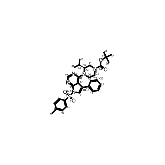 Cc1ccc(S(=O)(=O)n2cc(-c3ccccc3)c3c(N4C[C@@H](C)N(C(=O)OC(C)(C)C)C[C@@H]4C(C)C)ncnc32)cc1